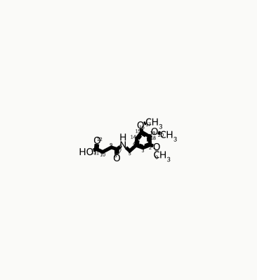 COc1cc(CNC(=O)CCC(=O)O)cc(OC)c1OC